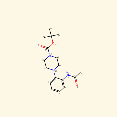 CC(=O)Nc1ccccc1N1CCN(C(=O)OC(C)(C)C)CC1